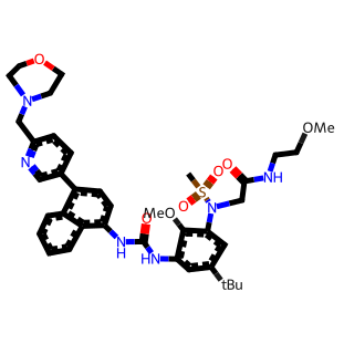 COCCNC(=O)CN(c1cc(C(C)(C)C)cc(NC(=O)Nc2ccc(-c3ccc(CN4CCOCC4)nc3)c3ccccc23)c1OC)S(C)(=O)=O